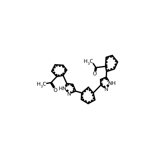 CC(=O)c1ccccc1-c1cc(-c2cccc(-c3cc(-c4ccccc4C(C)=O)[nH]n3)c2)n[nH]1